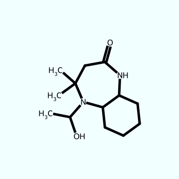 CC(O)N1C2CCCCC2NC(=O)CC1(C)C